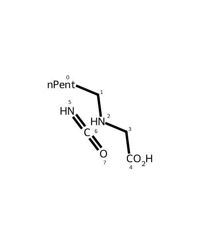 CCCCCCNCC(=O)O.N=C=O